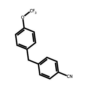 N#Cc1ccc(Cc2ccc(OC(F)(F)F)cc2)cc1